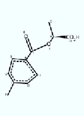 Cc1ccc(C(=O)O[C@@H](C)C(=O)O)cc1